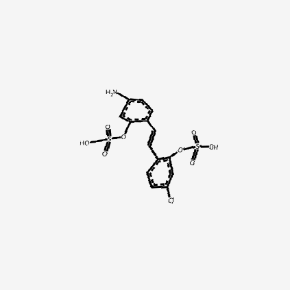 Nc1ccc(C=Cc2ccc(Cl)cc2OS(=O)(=O)O)c(OS(=O)(=O)O)c1